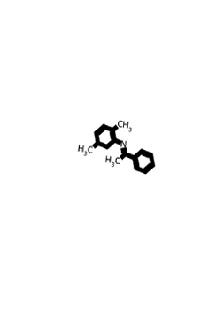 CC1=C(/N=C(\C)c2ccccc2)CC(C)C=C1